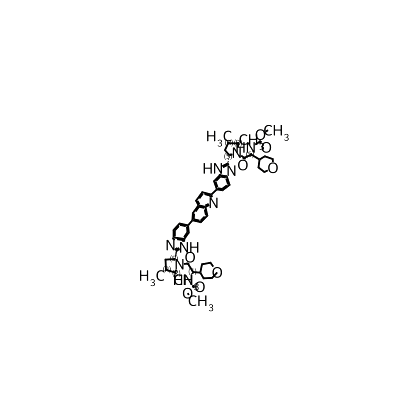 COC(=O)N[C@H](C(=O)N1[C@H](C)[C@H](C)C[C@H]1c1nc2ccc(-c3ccc4nc(-c5ccc6nc([C@@H]7C[C@@H](C)[C@@H](C)N7C(=O)[C@@H](NC(=O)OC)C7CCOCC7)[nH]c6c5)ccc4c3)cc2[nH]1)C1CCOCC1